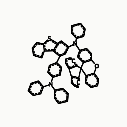 c1ccc(N(c2ccccc2)c2ccc(-c3cc(N(c4ccccc4)c4ccc5c(c4)C4(c6ccccc6O5)c5ccccc5-c5ccccc54)cc4sc5ccccc5c34)cc2)cc1